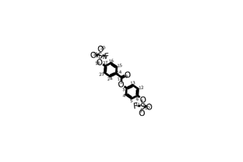 O=C(Oc1ccc(OS(=O)(=O)F)cc1)c1ccc(OS(=O)(=O)F)cc1